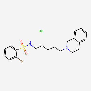 Cl.O=S(=O)(NCCCCCN1CCc2ccccc2C1)c1ccccc1Br